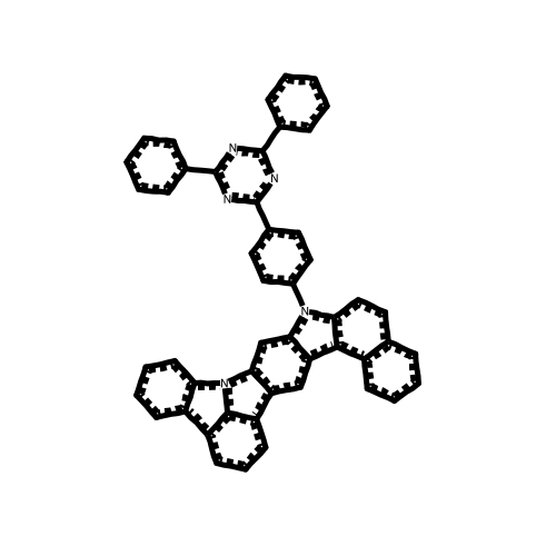 c1ccc(-c2nc(-c3ccccc3)nc(-c3ccc(-n4c5cc6c(cc5c5c7ccccc7ccc54)c4cccc5c7ccccc7n6c54)cc3)n2)cc1